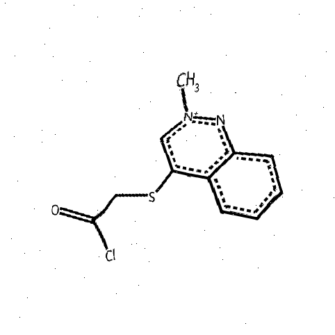 C[n+]1cc(SCC(=O)Cl)c2ccccc2n1